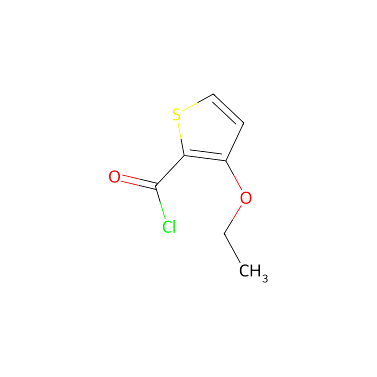 CCOc1ccsc1C(=O)Cl